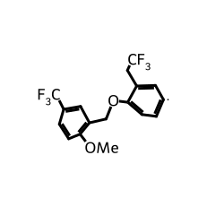 COc1ccc(C(F)(F)F)cc1COc1cc[c]cc1CC(F)(F)F